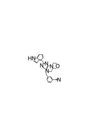 N#Cc1cccc(CN2CC3COCCN3c3nc(-c4cccc5[nH]ccc45)ncc32)c1